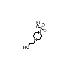 CCOS(=O)(=O)N1CCN(CCO)CC1